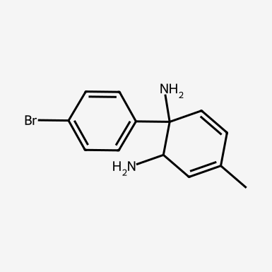 CC1=CC(N)C(N)(c2ccc(Br)cc2)C=C1